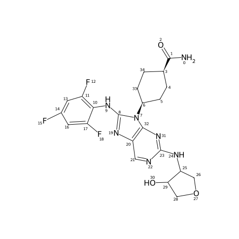 NC(=O)[C@H]1CC[C@@H](n2c(Nc3c(F)cc(F)cc3F)nc3cnc(NC4COCC4O)nc32)CC1